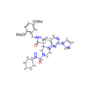 COc1ccc(OC)c(CNC(=O)CC2CN(C(=O)NC3CCCCC3)CCN2c2nc(-n3ccnc3)ncc2C(C)C)c1